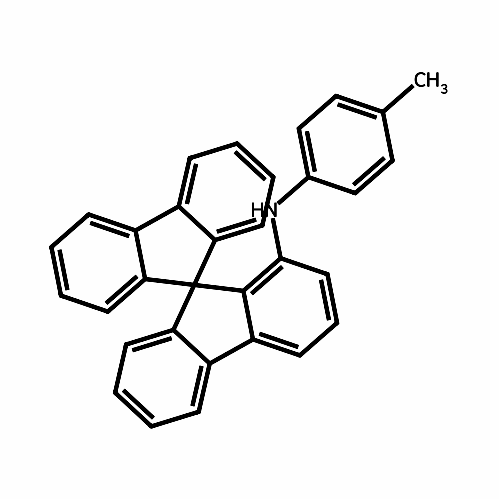 Cc1ccc(Nc2cccc3c2C2(c4ccccc4-c4ccccc42)c2ccccc2-3)cc1